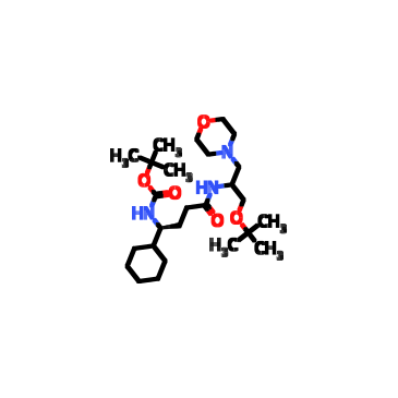 CC(C)(C)OCC(CN1CCOCC1)NC(=O)CC[C@H](NC(=O)OC(C)(C)C)C1CCCCC1